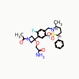 CC(=O)N1CC(OCC(N)=O)(c2cc(F)c(CN3[C@@H](C)CC[C@H](c4ccccc4)S3(=O)=O)cc2F)C1